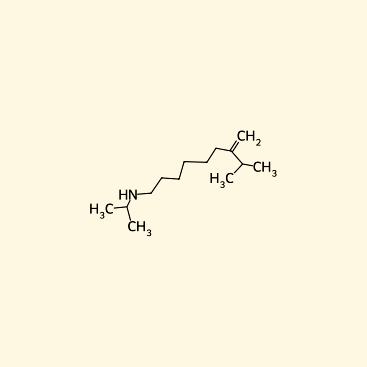 C=C(CCCCCCNC(C)C)C(C)C